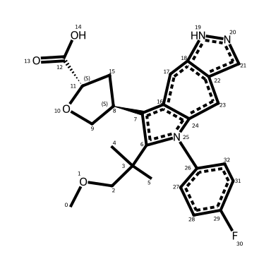 COCC(C)(C)c1c([C@H]2CO[C@H](C(=O)O)C2)c2cc3[nH]ncc3cc2n1-c1ccc(F)cc1